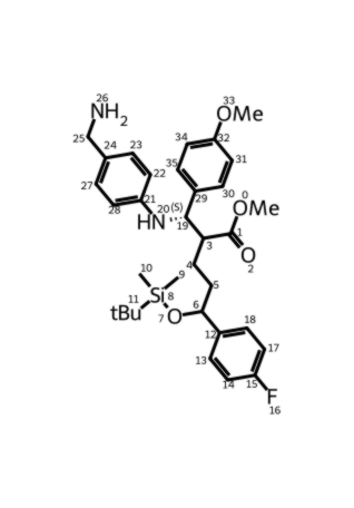 COC(=O)C(CCC(O[Si](C)(C)C(C)(C)C)c1ccc(F)cc1)[C@H](Nc1ccc(CN)cc1)c1ccc(OC)cc1